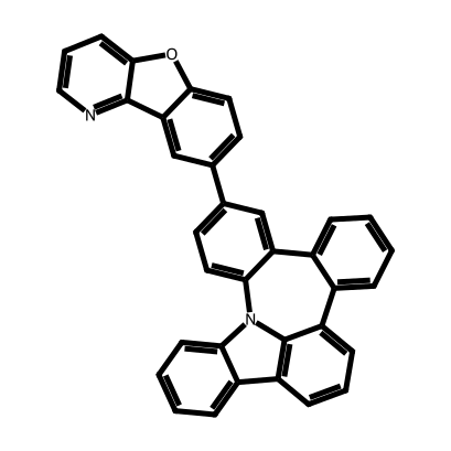 c1ccc2c(c1)-c1cc(-c3ccc4oc5cccnc5c4c3)ccc1-n1c3ccccc3c3cccc-2c31